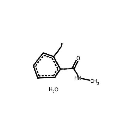 CNC(=O)c1ccccc1F.O